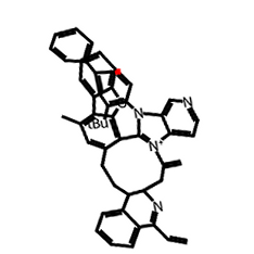 C=CC1=NC2CC(=C)[n+]3c(n(-c4ccc(-c5ccccc5)cc4C(C)(C)C)c4cnccc43)-c3c(cc(C)c4c3oc3ccccc34)CCC2c2ccccc21